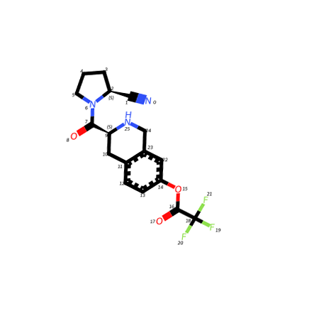 N#C[C@@H]1CCCN1C(=O)[C@@H]1Cc2ccc(OC(=O)C(F)(F)F)cc2CN1